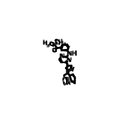 CN(C)C(=O)c1cccc(Nc2nccc(-c3cnn(C(CC#N)C4CCCC4)c3)n2)c1